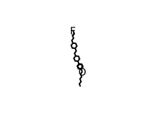 CCCCCCOc1ccc(C2CCC(CCC3CCC(CCC=CF)CC3)CC2)cc1